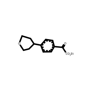 CCOC(=O)C(=O)c1ccc(C2CCOCC2)cc1